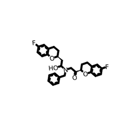 O=C(CN(Cc1ccccc1)C(O)C[C@@H]1CCc2cc(F)ccc2O1)[C@H]1CCc2cc(F)ccc2O1